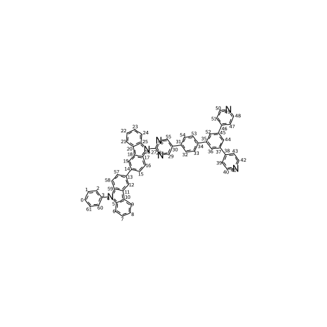 c1ccc(-n2c3ccccc3c3cc(-c4ccc5c(c4)c4ccccc4n5-c4ncc(-c5ccc(-c6cc(-c7ccncc7)cc(-c7ccncc7)c6)cc5)cn4)ccc32)cc1